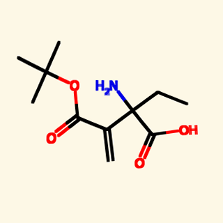 C=C(C(=O)OC(C)(C)C)C(N)(CC)C(=O)O